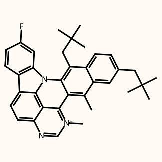 Cc1c2cc(CC(C)(C)C)ccc2c(CC(C)(C)C)c2c1c1c3c(ccc4c5ccc(F)cc5n2c43)nc[n+]1C